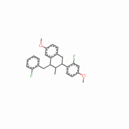 COc1ccc(C2Cc3ccc(OC)cc3C(Cc3ccccc3F)C2C)c(F)c1